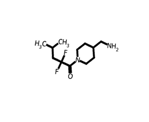 CC(C)CC(F)(F)C(=O)N1CCC(CN)CC1